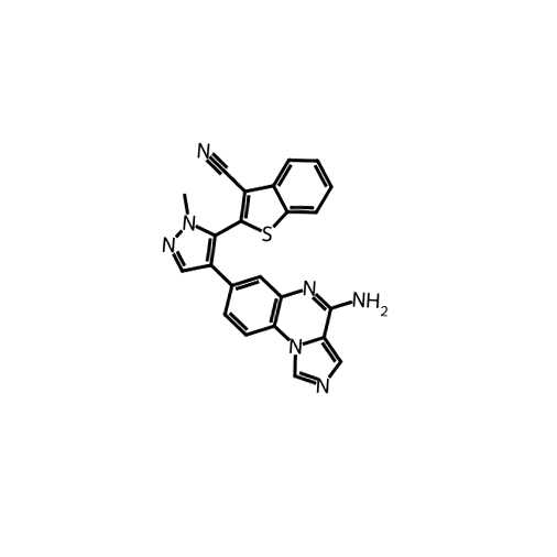 Cn1ncc(-c2ccc3c(c2)nc(N)c2cncn23)c1-c1sc2ccccc2c1C#N